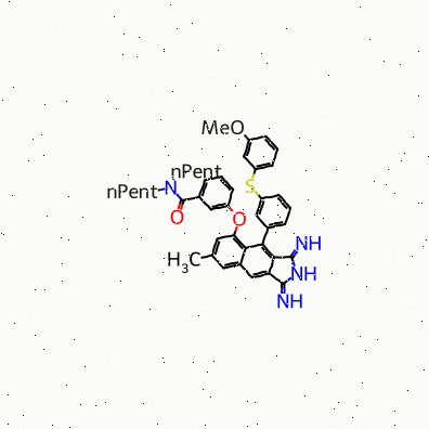 CCCCCN(CCCCC)C(=O)c1cccc(Oc2cc(C)cc3cc4c(c(-c5cccc(Sc6cccc(OC)c6)c5)c23)C(=N)NC4=N)c1